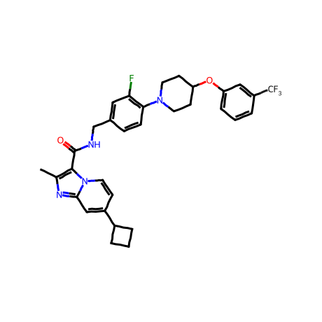 Cc1nc2cc(C3CCC3)ccn2c1C(=O)NCc1ccc(N2CCC(Oc3cccc(C(F)(F)F)c3)CC2)c(F)c1